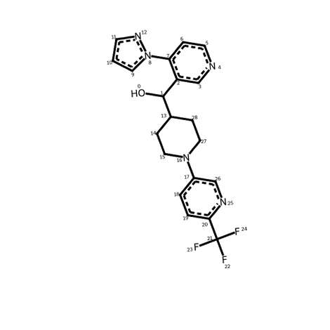 OC(c1cnccc1-n1cccn1)C1CCN(c2ccc(C(F)(F)F)nc2)CC1